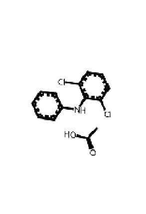 CC(=O)O.Clc1cccc(Cl)c1Nc1ccccc1